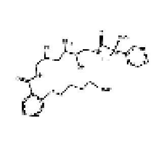 COCCCCOc1ccccc1C(=O)NCC(CC(N)C(O)CNC(=O)[C@](C)(OC)c1ccccc1)C(C)C